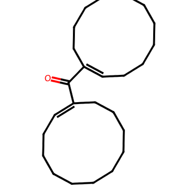 O=C(C1=CCCCCCCCCCC1)C1=CCCCCCCCCCC1